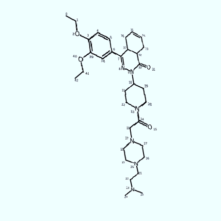 CCOc1ccc(C2=NN(C3CCN(C(=O)CN4CCN(CCN(C)C)CC4)CC3)C(=O)C3CC=CCC23)cc1OCC